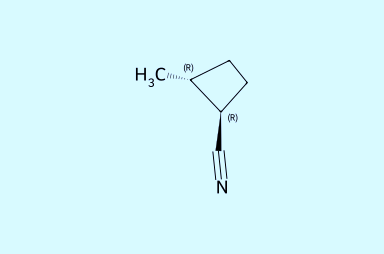 C[C@@H]1CC[C@H]1C#N